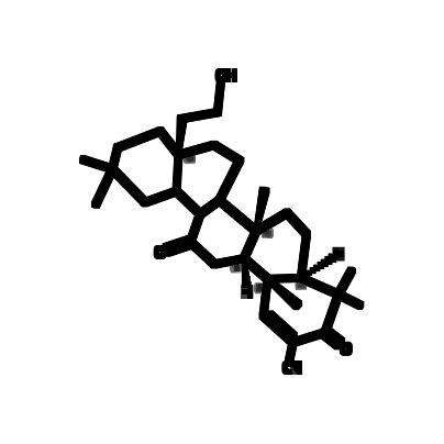 CC1(C)CC[C@]2(CCO)CCC3C(C(=O)C[C@@H]4[C@@]5(C)C=C(C#N)C(=O)C(C)(C)[C@@H]5CC[C@@]34C)C2C1